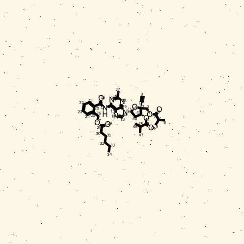 C#C[C@]1(COC(=O)C(C)C)O[C@@H](n2cnc3c(NC(=O)c4ccccc4COC(=O)CCCCC)nc(C)nc32)C[C@@H]1OC(=O)C(C)C